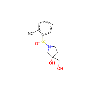 N#Cc1ccccc1[S+]([O-])N1CCC(O)(CO)C1